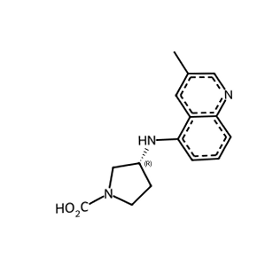 Cc1cnc2cccc(N[C@@H]3CCN(C(=O)O)C3)c2c1